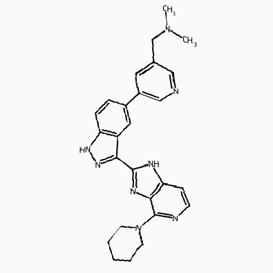 CN(C)Cc1cncc(-c2ccc3[nH]nc(-c4nc5c(N6CCCCC6)nccc5[nH]4)c3c2)c1